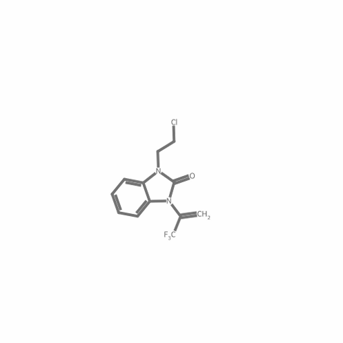 C=C(n1c(=O)n(CCCl)c2ccccc21)C(F)(F)F